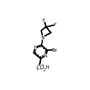 O=C(O)c1cnc(N2CC(F)(F)C2)c(Br)n1